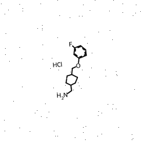 Cl.NCC1CCC(COc2cccc(F)c2)CC1